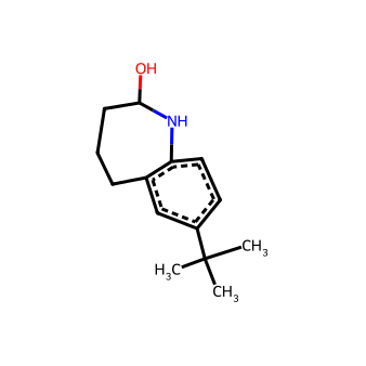 CC(C)(C)c1ccc2c(c1)CCCC(O)N2